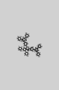 c1ccc(-c2cc(-c3ccccc3)c3c(c2)C(c2ccc(-c4nc(-c5ccccc5)cc(-c5ccccc5)n4)cc2)CC(c2ccc(-c4nc(-c5ccccc5)cc(-c5ccccc5)n4)cc2)=N3)cc1